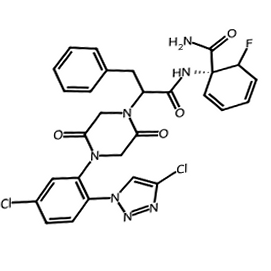 NC(=O)[C@]1(NC(=O)C(Cc2ccccc2)N2CC(=O)N(c3cc(Cl)ccc3-n3cc(Cl)nn3)CC2=O)C=CC=CC1F